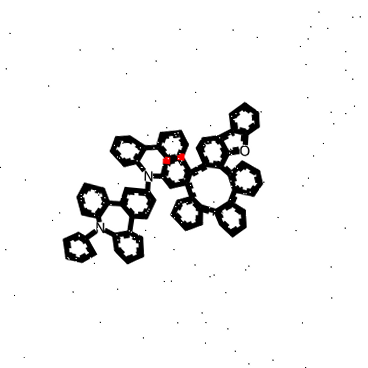 c1ccc(-c2ccccc2N(c2ccc3c(c2)-c2ccccc2N(c2ccccc2)c2ccccc2-3)c2ccc3c(c2)c2ccccc2c2ccccc2c2ccccc2c2c3ccc3c4ccccc4oc32)cc1